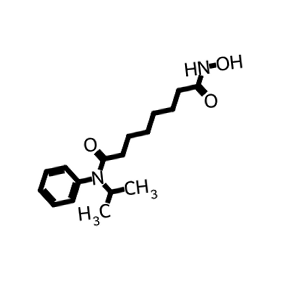 CC(C)N(C(=O)CCCCCCC(=O)NO)c1ccccc1